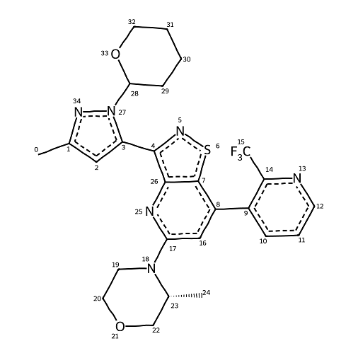 Cc1cc(-c2nsc3c(-c4cccnc4C(F)(F)F)cc(N4CCOC[C@H]4C)nc23)n(C2CCCCO2)n1